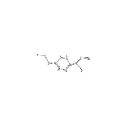 [CH2]CCc1ccc(C(C)CC)cc1